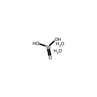 O.O.[O]=[Sn]([OH])[OH]